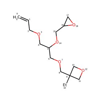 C=CCOCC(COCC1(CC)COC1)OCC1CO1